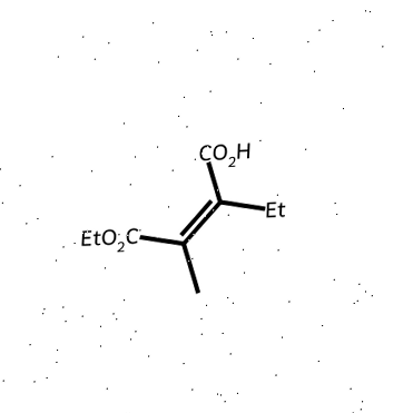 CCOC(=O)C(C)=C(CC)C(=O)O